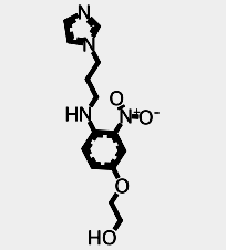 O=[N+]([O-])c1cc(OCCO)ccc1NCCCn1ccnc1